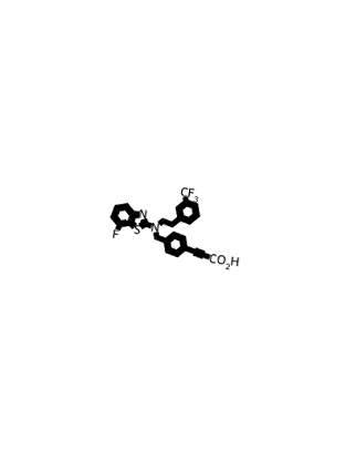 O=C(O)C#Cc1ccc(CN(CCc2cccc(C(F)(F)F)c2)c2nc3cccc(F)c3s2)cc1